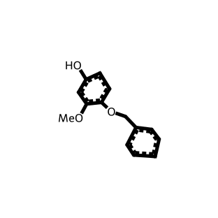 COc1cc(O)ccc1OCc1ccccc1